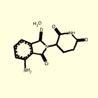 Nc1cccc2c1C(=O)N(C1CCC(=O)NC1=O)C2=O.O